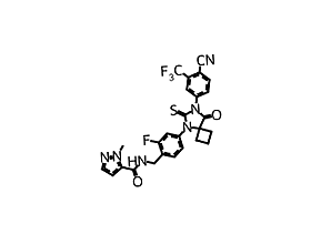 Cn1nccc1C(=O)NCc1ccc(N2C(=S)N(c3ccc(C#N)c(C(F)(F)F)c3)C(=O)C23CCC3)cc1F